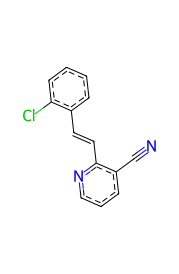 N#Cc1cccnc1C=Cc1ccccc1Cl